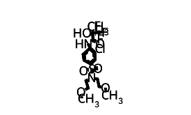 COCCN(CCOC)S(=O)(=O)c1ccc(NC(=O)[C@@](C)(O)C(F)(F)F)c(Cl)c1